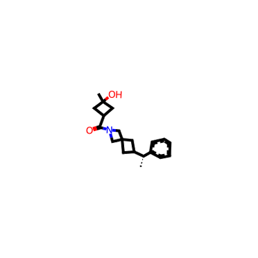 C[C@@H](c1ccccc1)C1CC2(C1)CN(C(=O)C1CC(C)(O)C1)C2